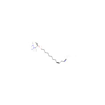 CCCCC/C=C\C/C=C\CCCCCCCCOC(CC(=O)[O-])C[N+](C)(C)C